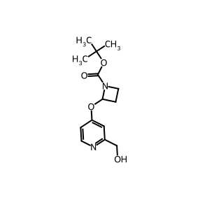 CC(C)(C)OC(=O)N1CCC1Oc1ccnc(CO)c1